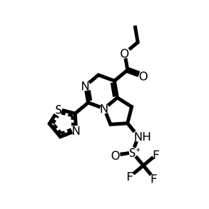 CCOC(=O)C1=C2CC(N[S+]([O-])C(F)(F)F)CN2C(c2nccs2)=NC1